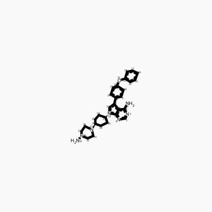 Nc1ncnc2c1c(-c1ccc(Oc3ccccc3)cc1)cn2[C@H]1CC[C@H](N2CCN(N)CC2)CC1